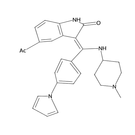 CC(=O)c1ccc2c(c1)/C(=C(/NC1CCN(C)CC1)c1ccc(-n3cccc3)cc1)C(=O)N2